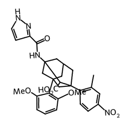 COc1cccc(OC)c1C12CC3CC(NC(=O)c4cc[nH]n4)(C1)C(C(=O)O)C(c1ccc([N+](=O)[O-])cc1C)(C3)C2